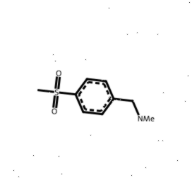 [CH2-][NH2+]Cc1ccc(S(C)(=O)=O)cc1